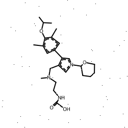 Cc1cc(-c2cn(C3CCCCO3)cc2CN(C)CCNC(=O)O)cc(C)c1OC(C)C